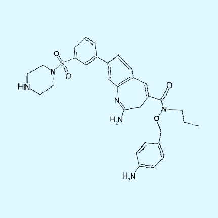 CCCN(OCc1ccc(N)cc1)C(=O)C1=Cc2ccc(-c3cccc(S(=O)(=O)N4CCNCC4)c3)cc2N=C(N)C1